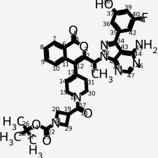 CC(c1oc(=O)c2ccccc2c1C1=CCN(C(=O)C2CN(C(=O)OC(C)(C)C)C2)CC1)n1nc(-c2cc(O)cc(F)c2)c2c(N)ncnc21